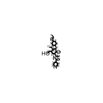 CCOc1ccc(Cn2c(CC)c(CO)cc(-c3csc(-c4ccncc4)n3)c2=O)cc1